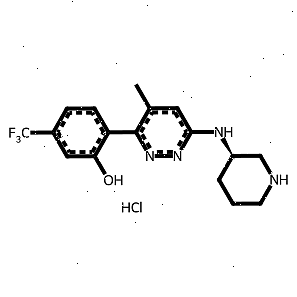 Cc1cc(N[C@@H]2CCCNC2)nnc1-c1ccc(C(F)(F)F)cc1O.Cl